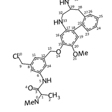 CNC(C)C(=O)Nc1cc(CCl)cc(COc2cc3c(cc2OC)-c2ccccc2CC(NC=O)CN3)c1